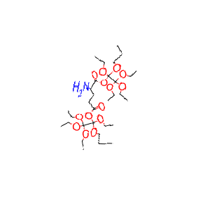 CCCOC(OCC)(OC(=O)CCC(N)C(=O)OC(OCC)(OCCC)C(OCC)(OCC)OCC)C(OCC)(OCC)OCC